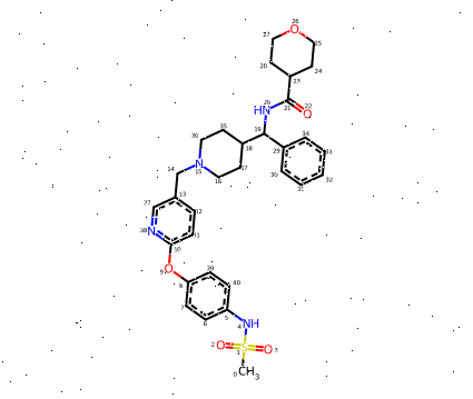 CS(=O)(=O)Nc1ccc(Oc2ccc(CN3CCC(C(NC(=O)C4CCOCC4)c4ccccc4)CC3)cn2)cc1